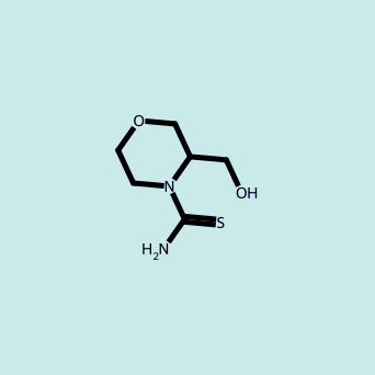 NC(=S)N1CCOCC1CO